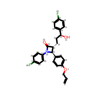 C=CCOc1ccc([C@@H]2[C@@H](CC[C@H](O)c3ccc(F)cc3)C(=O)N2c2ccc(F)cc2)cc1